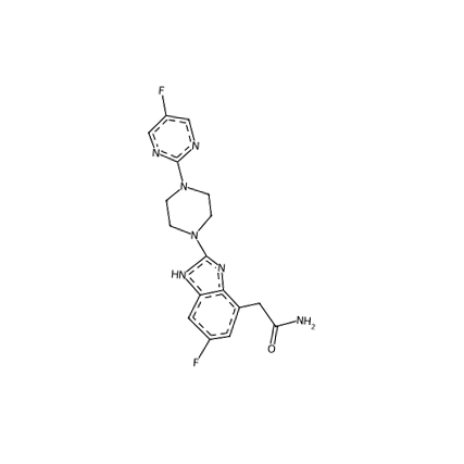 NC(=O)Cc1cc(F)cc2[nH]c(N3CCN(c4ncc(F)cn4)CC3)nc12